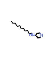 CCCCCCCCCCCNc1ccncc1